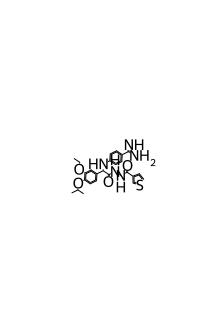 CCOc1cc(C(Nc2ccc(C(=N)N)cc2)C(=O)NNC(=O)c2ccsc2)ccc1OC(C)C